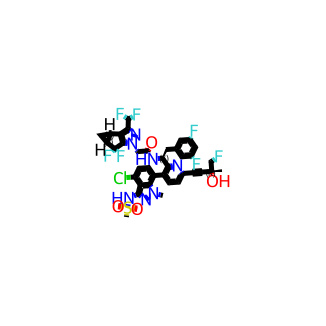 Cn1nc(NS(C)(=O)=O)c2c(Cl)ccc(-c3ccc(C#C[C@@](C)(O)CF)nc3[C@H](Cc3cc(F)cc(F)c3)NC(=O)Cn3nc(C(F)F)c4c3C(F)(F)[C@@H]3C[C@H]43)c21